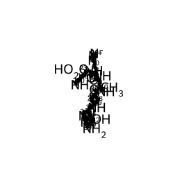 C[C@H](CCC(=O)N[C@@H](CCCN=[N+]=[N-])C(=O)N[C@H](CCCCN)C(=O)O)NC(=O)c1ccc(NCc2cnc3nc(N)nc(O)c3n2)cc1